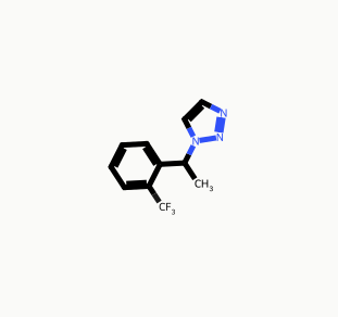 CC(c1ccccc1C(F)(F)F)n1ccnn1